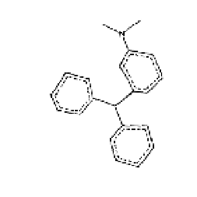 CN(C)c1cccc(C(c2ccccc2)c2ccccc2)c1